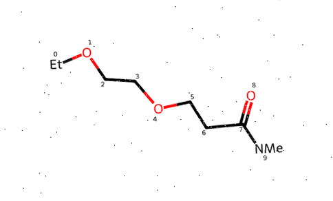 CCOCCOCCC(=O)NC